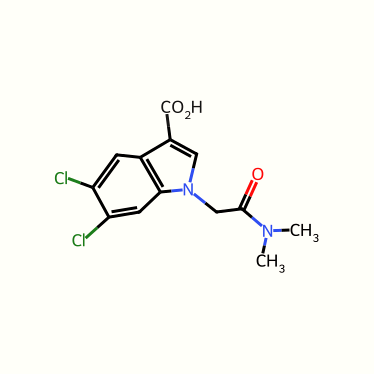 CN(C)C(=O)Cn1cc(C(=O)O)c2cc(Cl)c(Cl)cc21